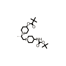 C[C@@H](CN1CCC(NC(=O)OC(C)(C)C)CC1)N1CCC(OC(=O)C(C)(C)C)CC1